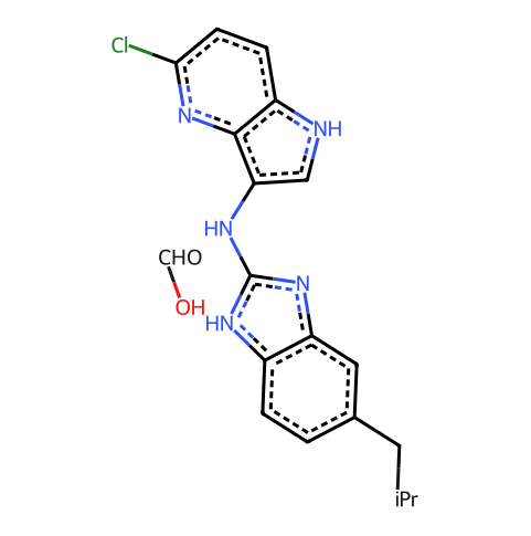 CC(C)Cc1ccc2[nH]c(Nc3c[nH]c4ccc(Cl)nc34)nc2c1.O=CO